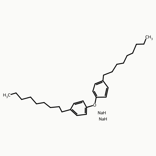 CCCCCCCCCc1ccc(Oc2ccc(CCCCCCCCC)cc2)cc1.[NaH].[NaH]